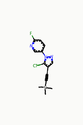 C[Si](C)(C)C#Cc1cnn(-c2ccc(F)nc2)c1Cl